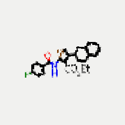 CCOC(=O)c1c(C2CCc3ccccc3C2)csc1NC(=O)c1ccc(F)cc1